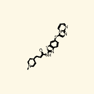 CN1CCC(CCC(=O)Nc2nc3ccc(Sc4cnc5ncccn45)cc3s2)CC1